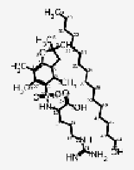 CC1=C2OC(C)(C)CC2C(C)C(S(=O)(=O)NC(CCCNC(=N)N)C(=O)O)=C1C.CCCCCCCCCCCCCCCCO